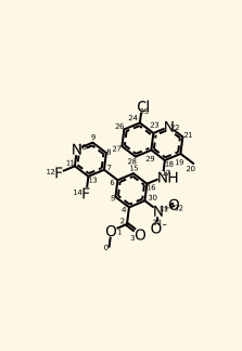 COC(=O)c1cc(-c2ccnc(F)c2F)cc(Nc2c(C)cnc3c(Cl)cccc23)c1[N+](=O)[O-]